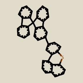 c1ccc2c(c1)-c1ccccc1C21c2ccccc2-c2cc(-c3ccc4c(c3)-c3cccc5cccc(c35)S4)ccc21